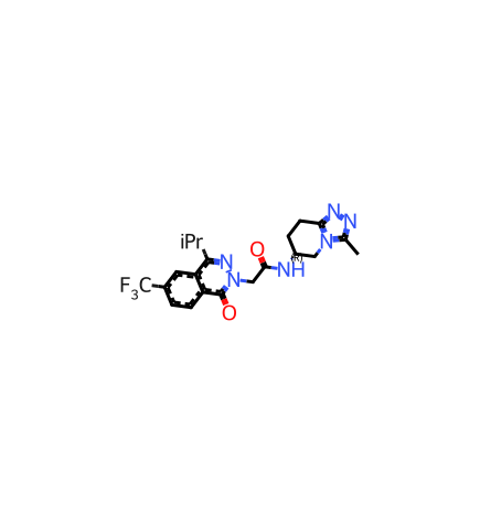 Cc1nnc2n1C[C@H](NC(=O)Cn1nc(C(C)C)c3cc(C(F)(F)F)ccc3c1=O)CC2